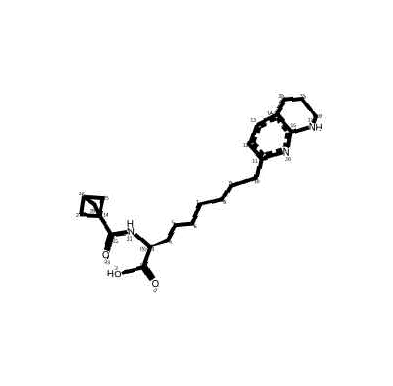 O=C(O)[C@H](CCCCCCCc1ccc2c(n1)NCCC2)NC(=O)C12CC(C1)C2